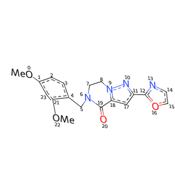 COc1ccc(CN2CCn3nc(-c4ncco4)cc3C2=O)c(OC)c1